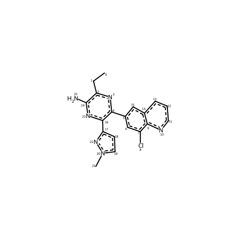 CCc1nc(-c2cc(Cl)c3ncccc3c2)c(-c2ccn(C)n2)nc1N